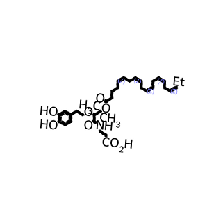 CC/C=C\C/C=C\C/C=C\C/C=C\C/C=C\CCCC(=O)OC(C)(C)C(OCCc1ccc(O)c(O)c1)C(=O)NCCC(=O)O